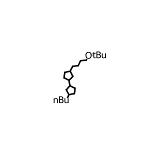 CCCCC1CCC(C2CCC(CCCCOC(C)(C)C)C2)C1